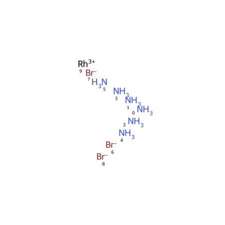 N.N.N.N.N.N.[Br-].[Br-].[Br-].[Rh+3]